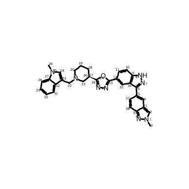 Cn1cc2cc(-c3n[nH]c4ccc(-c5nnc([C@@H]6CCCN(Cc7cn(C)c8ccccc78)C6)o5)cc34)ccc2n1